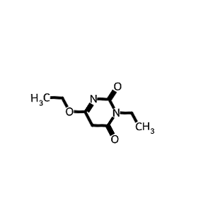 CCOC1=NC(=O)N(CC)C(=O)C1